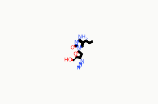 CCCc1cn([C@H]2C[C@H](N=[N+]=[N-])[C@@H](CO)O2)c(=O)nc1N